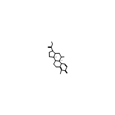 CC1=C2CC[C@@H]3[C@H](C(O)C[C@@]4(C)[C@H]3CC[C@]4(O)C(=O)CO)[C@@]2(C)C=CC1=O